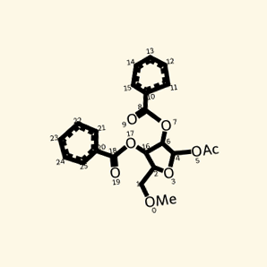 COCC1OC(OC(C)=O)C(OC(=O)c2ccccc2)C1OC(=O)c1ccccc1